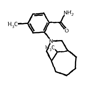 Cc1ccc(C(N)=O)c(N2CC3CCCCC(C2)C3C)c1